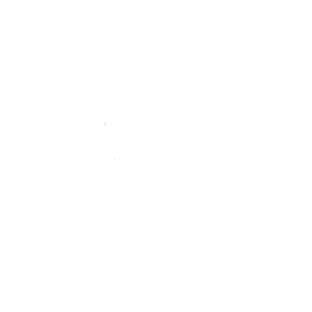 O=C(c1ccc(NS(=O)(=O)c2cccc3cccnc23)c(OC(F)(F)F)c1)N1CCN(Cc2ccc(F)c(Cl)c2)CC1